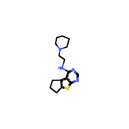 c1nc(NCCN2CCCCC2)c2c3c(sc2n1)CCC3